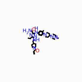 C=CC(=O)N1CCC(CNc2nc(Nc3ccc(N4CCC(N5CCN(C)CC5)CC4)c(C)c3)c(C(N)=O)nc2CC)CC1